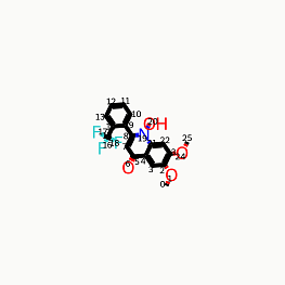 COc1cc2c(=O)cc(-c3ccccc3C(F)(F)F)n(O)c2cc1OC